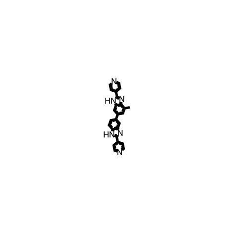 Cc1cc(-c2ccc3[nH]c(-c4ccncc4)nc3c2)cc2[nH]c(-c3ccncc3)nc12